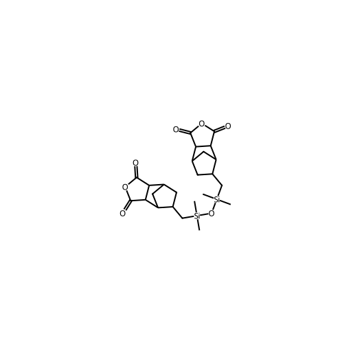 C[Si](C)(CC1CC2CC1C1C(=O)OC(=O)C21)O[Si](C)(C)CC1CC2CC1C1C(=O)OC(=O)C21